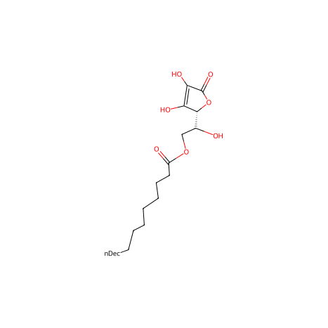 CCCCCCCCCCCCCCCCCC(=O)OCC(O)[C@H]1OC(=O)C(O)=C1O